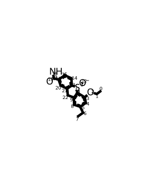 CCOc1cc(CC)cc2c1[S+]([O-])c1ccc(C(N)=O)cc1C2